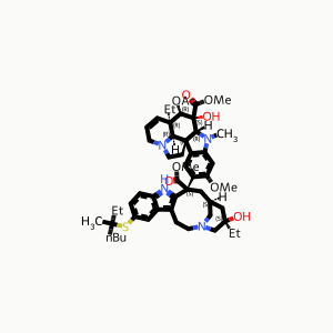 CCCCC(C)(CC)Sc1ccc2[nH]c3c(c2c1)CCN1C[C@H](C[C@@](O)(CC)C1)C[C@]3(C(=O)OC)c1cc2c(cc1OC)N(C)[C@H]1[C@@](O)(C(=O)OC)[C@H](OC(C)=O)[C@]3(CC)C=CCN4CC[C@]21[C@@H]43